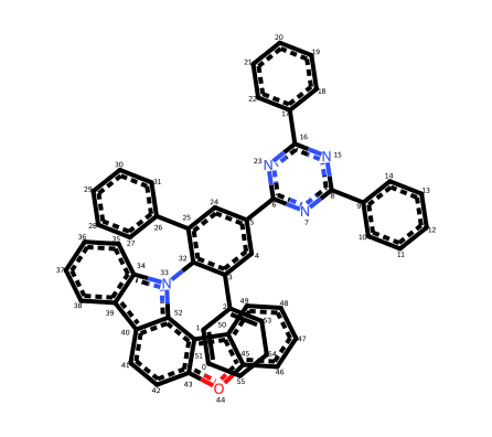 C1=CC(c2cc(-c3nc(-c4ccccc4)nc(-c4ccccc4)n3)cc(-c3ccccc3)c2-n2c3ccccc3c3ccc4oc5ccccc5c4c32)=CCC1